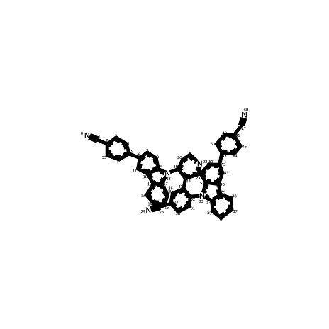 N#Cc1ccc(-c2ccc3c(c2)c2ccccc2n3-c2ccncc2-c2cc(C#N)ccc2-n2c3ccccc3c3cc(-c4ccc(C#N)cc4)ccc32)cc1